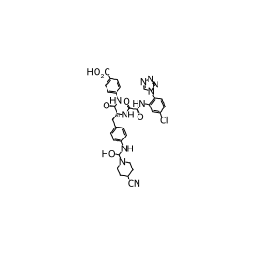 N#CC1CCN(C(O)Nc2ccc(C[C@H](NC(=O)C(=O)Nc3cc(Cl)ccc3-n3cnnn3)C(=O)Nc3ccc(C(=O)O)cc3)cc2)CC1